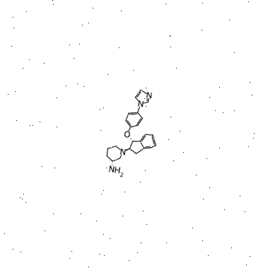 N[C@@H]1CCCN([C@@H]2Cc3ccccc3[C@H]2Oc2ccc(-n3ccnc3)cc2)C1